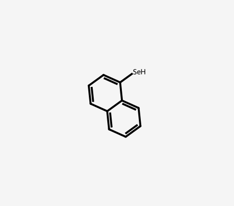 [SeH]c1cccc2ccccc12